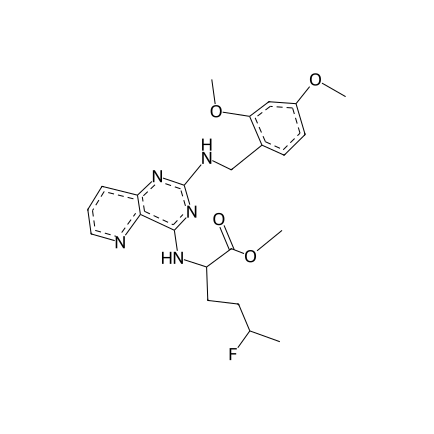 COC(=O)C(CCC(C)F)Nc1nc(NCc2ccc(OC)cc2OC)nc2cccnc12